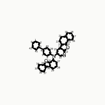 c1ccc(-c2ccc(N(c3cnc4oc5c6ccccc6ccc5c4c3)c3cccc4c3oc3ccccc34)cc2)cc1